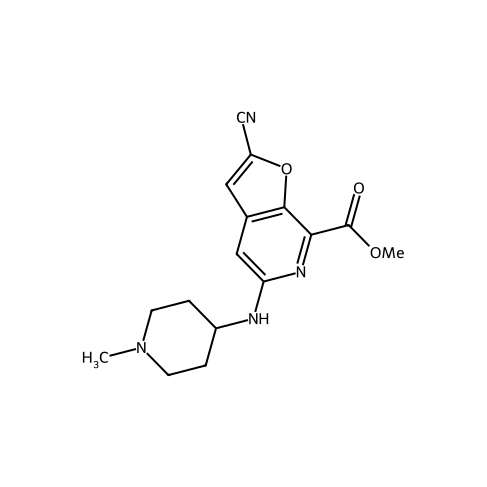 COC(=O)c1nc(NC2CCN(C)CC2)cc2cc(C#N)oc12